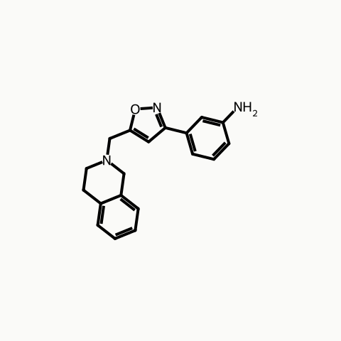 Nc1cccc(-c2cc(CN3CCc4ccccc4C3)on2)c1